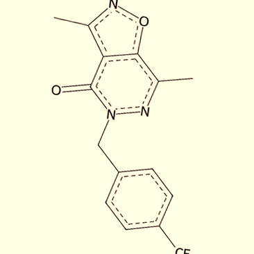 Cc1nn(Cc2ccc(C(F)(F)F)cc2)c(=O)c2c(C)noc12